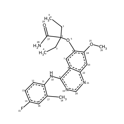 CCC(CC)(Oc1cc2c(Nc3ccc(F)cc3C)ncnc2cc1OC)C(N)=O